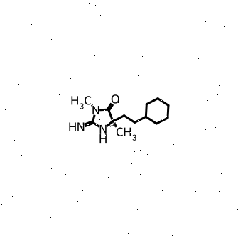 CN1C(=N)N[C@@](C)(CCC2CCCCC2)C1=O